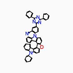 N#Cc1cc(-c2nc(-c3ccccc3)nc(-c3ccccc3)n2)ccc1-n1c2ccccc2c2c3c(ccc21)oc1ccc2c(c4ccccc4n2-c2ccccc2)c13